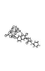 COC1[C@@H]2OC(=O)O[C@@H]2C(Oc2ccc3cc(NC(=O)OCc4ccccc4)c(=O)oc3c2)OC1(C)C